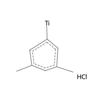 Cc1cc(C)c[c]([Ti])c1.Cl